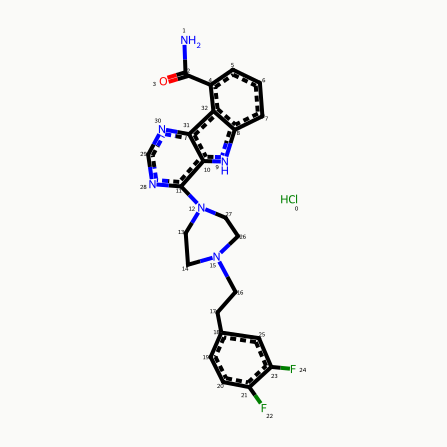 Cl.NC(=O)c1cccc2[nH]c3c(N4CCN(CCc5ccc(F)c(F)c5)CC4)ncnc3c12